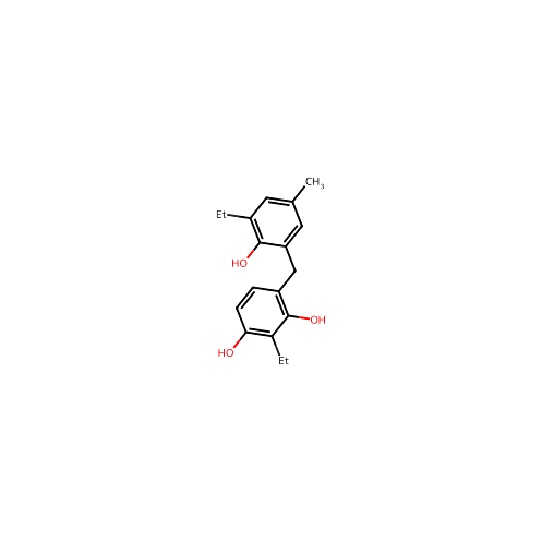 CCc1cc(C)cc(Cc2ccc(O)c(CC)c2O)c1O